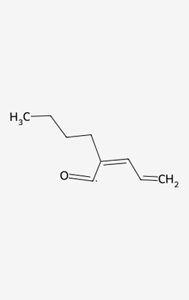 C=CC=C([C]=O)CCCC